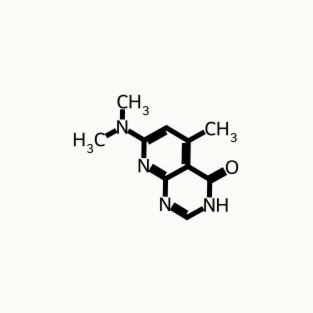 Cc1cc(N(C)C)nc2nc[nH]c(=O)c12